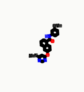 CNc1cc(Oc2ccc3c(C(=O)Nc4cccc(OC)c4)cccc3c2)ncn1